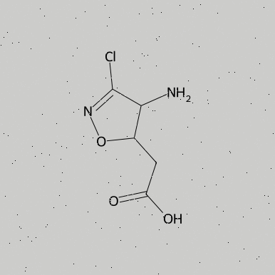 NC1C(Cl)=NOC1CC(=O)O